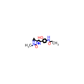 CCNC(=O)n1nc(-c2ccc(NC(=O)CC)cc2O)cc1C1CC1